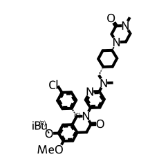 CC[C@@H](C)Oc1cc2c(cc1OC)CC(=O)N(c1ccc(N(C)C[C@H]3CC[C@@H](N4CCN(C)C(=O)C4)CC3)nc1)[C@H]2c1ccc(Cl)cc1